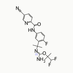 CC(C)(/N=C(/N)OC(C)(C)C(F)F)c1cc(NC(=O)c2ccc(C#N)cn2)ccc1F